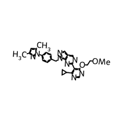 COCCOc1ncnc(C2CC2)c1-c1ncc2cnn(Cc3ccc(-n4nc(C)cc4C)cc3)c2n1